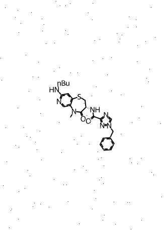 CCCCNc1cc2c(cn1)N(C)C(=O)[C@@H](NC(=O)c1ncn(Cc3ccccc3)n1)CS2